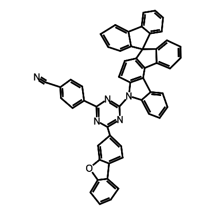 N#Cc1ccc(-c2nc(-c3ccc4c(c3)oc3ccccc34)nc(-n3c4ccccc4c4c5c(ccc43)C3(c4ccccc4-c4ccccc43)c3ccccc3-5)n2)cc1